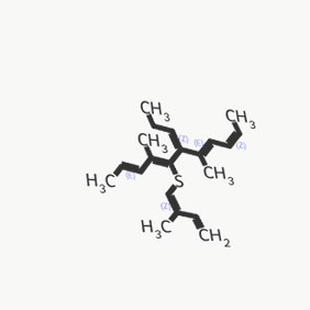 C=C/C(C)=C\SC(=C(C)/C=C/C)C(=C\CC)/C(C)=C/C=C\C